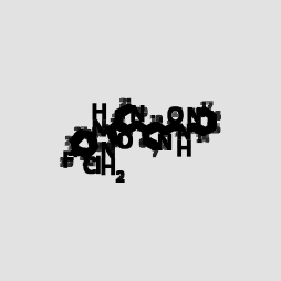 Nc1oc2c(-c3ccnc(C(=O)Nc4ccccn4)c3)nccc2c1Nc1ccc(F)c(Cl)c1